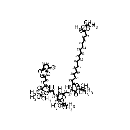 CC(C)(C)OC(=O)CCCCCCCCCCCCCCCCC(=O)N[C@@H](CCC(=O)N[C@@H](CCC(=O)N[C@@H](CCC(=O)ON1C(=O)CCC1=O)C(=O)OC(C)(C)C)C(=O)OC(C)(C)C)C(=O)OC(C)(C)C